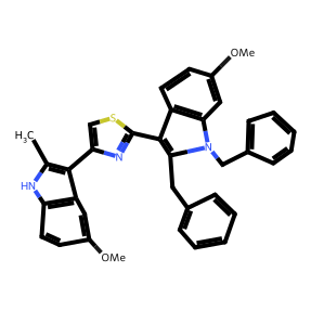 COc1ccc2[nH]c(C)c(-c3csc(-c4c(Cc5ccccc5)n(Cc5ccccc5)c5cc(OC)ccc45)n3)c2c1